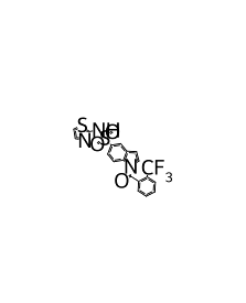 O=C(c1ccccc1C(F)(F)F)n1ccc2cc(S(=O)(=O)Nc3nccs3)ccc21